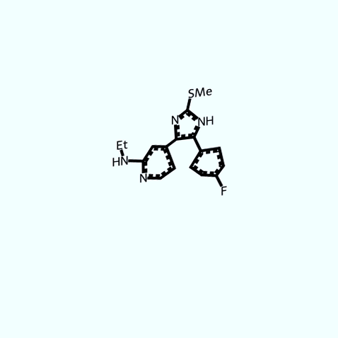 CCNc1cc(-c2nc(SC)[nH]c2-c2ccc(F)cc2)ccn1